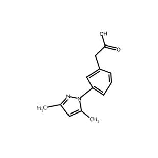 Cc1cc(C)n(-c2cccc(CC(=O)O)c2)n1